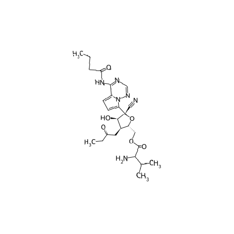 CCCC(=O)Nc1ncnn2c([C@]3(C#N)O[C@H](COC(=O)C(N)C(C)C)[C@@H](CC(=O)CC)[C@H]3O)ccc12